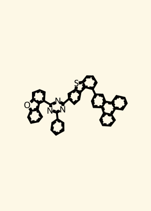 c1ccc(-c2nc(-c3ccc4c(c3)sc3cccc(-c5ccc6c7ccccc7c7ccccc7c6c5)c34)nc(-c3cccc4oc5ccccc5c34)n2)cc1